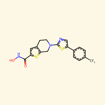 O=C(NO)c1cc2c(s1)CN(c1ncc(-c3ccc(C(F)(F)F)cc3)s1)CC2